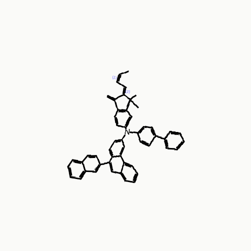 C=C1/C(=C\C=C/C)C(C)(C)c2cc(N(c3ccc(-c4ccccc4)cc3)c3ccc4c(-c5ccc6ccccc6c5)cc5ccccc5c4c3)ccc21